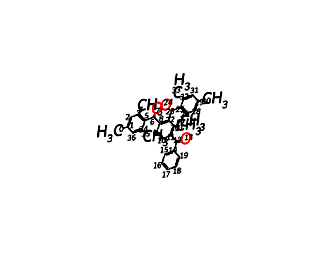 Cc1cc(C)c(C(=O)c2ccc(C(=O)c3ccccc3)c(C)c2C(=O)c2c(C)cc(C)cc2C)c(C)c1